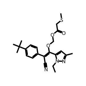 CCn1nc(C)cc1/C(OCOC(=O)CSC)=C(\C#N)c1ccc(C(C)(C)C)cc1